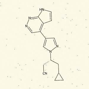 N#CC[C@@H](CC1CC1)n1cc(-c2cnnc3[nH]ccc23)cn1